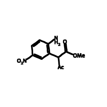 COC(=O)C(C(C)=O)c1cc([N+](=O)[O-])ccc1N